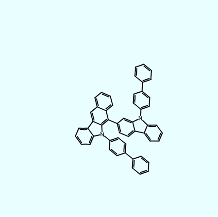 c1ccc(-c2ccc(-n3c4ccccc4c4ccc(-c5c6ccccc6cc6c7ccccc7n(-c7ccc(-c8ccccc8)cc7)c56)cc43)cc2)cc1